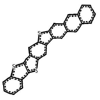 c1ccc2cc3cc4c(cc3cc2c1)sc1cc2c(cc14)sc1c3ccccc3sc21